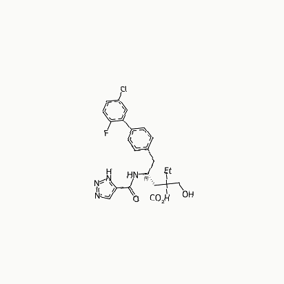 CCC(CO)(C[C@@H](Cc1ccc(-c2cc(Cl)ccc2F)cc1)NC(=O)c1cnn[nH]1)C(=O)O